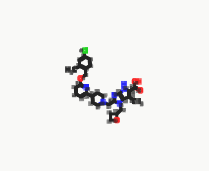 Cc1cc(Cl)ccc1COc1cccc(C2=CCN(Cc3nc4[nH]c(C(=O)O)c(C)c4n3CC3CCO3)CC2)n1